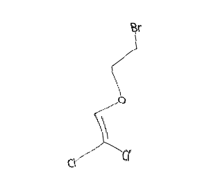 ClC(Cl)=COCCBr